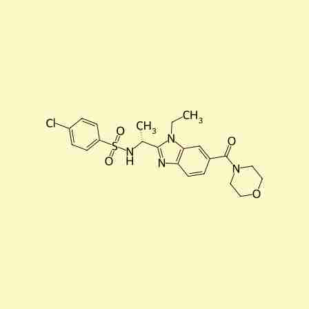 CCn1c([C@@H](C)NS(=O)(=O)c2ccc(Cl)cc2)nc2ccc(C(=O)N3CCOCC3)cc21